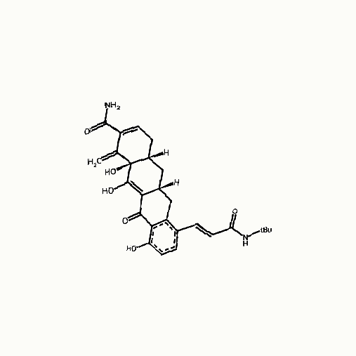 C=C1C(C(N)=O)=CC[C@@H]2C[C@@H]3Cc4c(/C=C/C(=O)NC(C)(C)C)ccc(O)c4C(=O)C3=C(O)[C@]12O